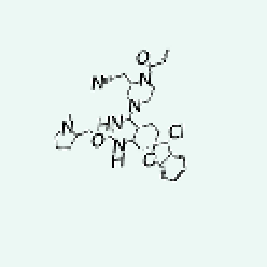 C=CC(=O)N1CCN(C2NC(OCC3CCCN3C)NC3C[C@@]4(CCC32)Oc2ccccc2C4Cl)CC1CC#N